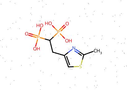 Cc1nc(CC(P(=O)(O)O)P(=O)(O)O)cs1